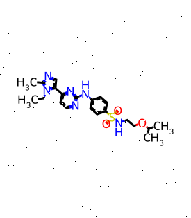 CCn1c(-c2ccnc(Nc3ccc(S(=O)(=O)NCCOC(C)C)cc3)n2)cnc1C